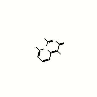 Cc1c(=O)nc(C)n2c(C)cccc12